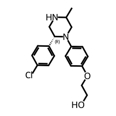 CC1CN(c2ccc(OCCO)cc2)[C@H](c2ccc(Cl)cc2)CN1